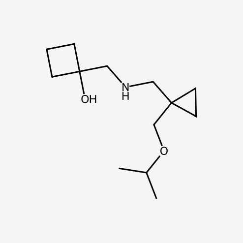 CC(C)OCC1(CNCC2(O)CCC2)CC1